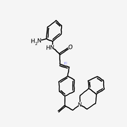 C=C(CN1CCc2ccccc2C1)c1ccc(/C=C/C(=O)Nc2ccccc2N)cc1